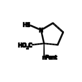 CCCCCC1(C(=O)O)CCCN1S